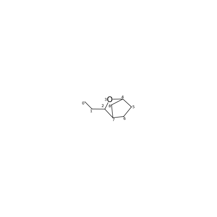 CCC1OC2CCC1C2